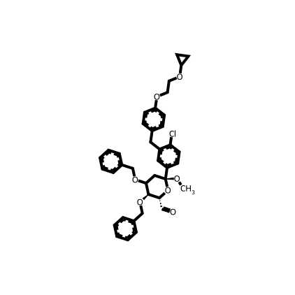 CO[C@]1(c2ccc(Cl)c(Cc3ccc(OCCOC4CC4)cc3)c2)CC(OCc2ccccc2)[C@H](OCc2ccccc2)[C@@H](C=O)O1